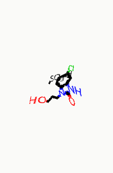 CS(=O)(=O)O.O=c1[nH]c2cc(Cl)ccc2n1CCCO